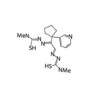 CN/C(S)=N/N=C/C(=N/N=C(\S)NC)C1(c2cccnc2)CCCC1